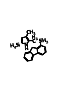 Cc1cc[nH]c1C.[SiH3]c1cccc2c1Cc1ccccc1-2.[SiH4]